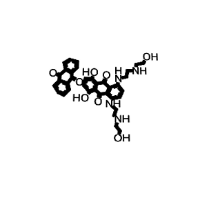 O=C1c2c(O)ccc(O)c2C(=O)c2c(NCCNCCO)ccc(NCCNCCO)c21.O=C1c2ccccc2C(=O)c2ccccc21